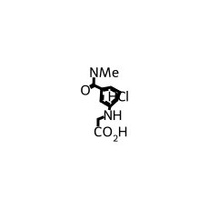 CNC(=O)c1cccc(NCC(=O)O)c1.Cl